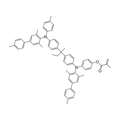 C=C(C)C(=O)Oc1ccc(N(c2ccc(C(C)(CC)c3ccc(N(c4ccc(C)cc4)c4c(C)cc(-c5ccc(C)cc5)cc4C)cc3)cc2)c2c(C)cc(-c3ccc(C)cc3)cc2C)cc1